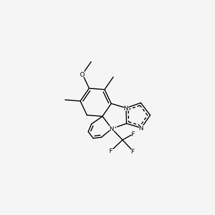 COC1=C(C)CC23C=CC=C[N+]2(C(F)(F)F)c2nccn2C3=C1C